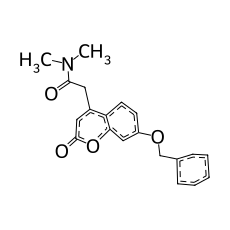 CN(C)C(=O)Cc1cc(=O)oc2cc(OCc3ccccc3)ccc12